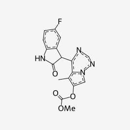 COC(=O)Oc1cn2ncnc(C3C(=O)Nc4ccc(F)cc43)c2c1C